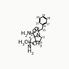 CC(C)(N)C[C@@]1(C(N)=O)CCCN1C(=O)Cc1ccccc1